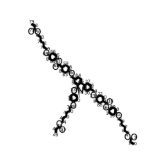 C=CC(=O)OCCCCCCOc1ccc(OC(=O)C2CCC(OCc3ccc4c(c3)nc(Oc3ccc(OCCCCCCOC(=O)C=C)cc3)c3cc(COC5CCC(C(=O)Oc6ccc(OCCCCCCOC(=O)C=C)cc6)CC5)ccc34)CC2)cc1